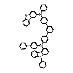 c1ccc(-c2ccc(N(c3ccc(-c4cccc(-c5ccc(N(c6ccccc6)c6ccc7sc8ccccc8c7c6)cc5)c4)cc3)c3cccc4c3c3ccccc3n4-c3ccccc3)cc2)cc1